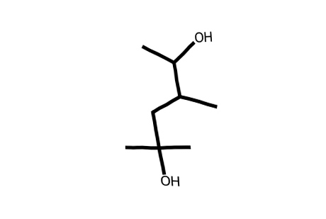 CC(O)C(C)CC(C)(C)O